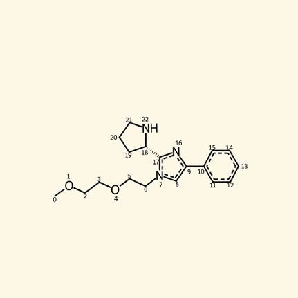 COCCOCCn1cc(-c2ccccc2)nc1[C@@H]1CCCN1